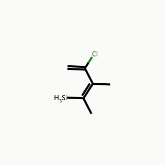 C=C(Cl)C(C)=C(C)[SiH3]